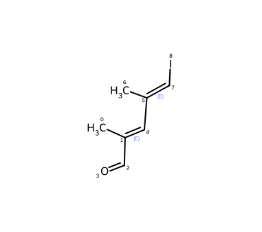 C/C(C=O)=C\C(C)=C\I